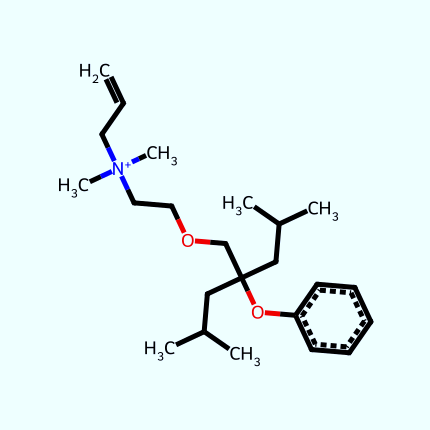 C=CC[N+](C)(C)CCOCC(CC(C)C)(CC(C)C)Oc1ccccc1